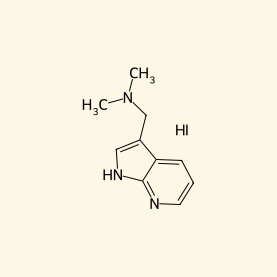 CN(C)Cc1c[nH]c2ncccc12.I